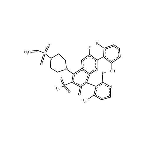 C=CS(=O)(=O)N1CCN(c2c(S(C)(=O)=O)c(=O)n(-c3c(C)ccnc3C(C)C)c3nc(-c4c(O)cccc4F)c(F)cc23)CC1